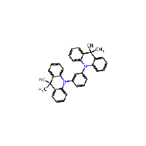 CC1(C#N)c2ccccc2N(c2cccc(N3c4ccccc4C(C)(C#N)c4ccccc43)c2)c2ccccc21